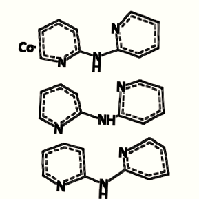 [Co].c1ccc(Nc2ccccn2)nc1.c1ccc(Nc2ccccn2)nc1.c1ccc(Nc2ccccn2)nc1